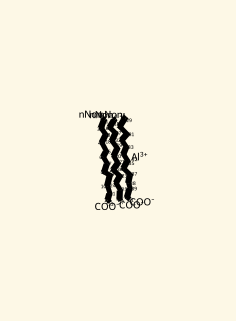 CCCCCCCCC/C=C/C=C/C=C/C=C/C=C/C=C/C(=O)[O-].CCCCCCCCC/C=C/C=C/C=C/C=C/C=C/C=C/C(=O)[O-].CCCCCCCCC/C=C/C=C/C=C/C=C/C=C/C=C/C(=O)[O-].[Al+3]